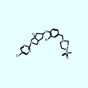 C=S(C)(=O)N1CCN(Cc2ccc(OC3CC4CN(c5ncc(CC)cn5)C[C@@H]4C3)c(Br)c2)CC1